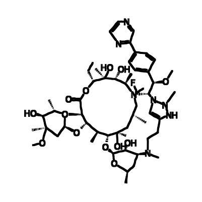 CC[C@H]1OC(=O)[C@H](C)[C@@H](O[C@H]2C[C@@](C)(OC)[C@@H](O)[C@H](C)O2)[C@H](C)[C@@H](O[C@@H]2O[C@H](C)C[C@H](N(C)CCC3=CN([C@H](CF)[C@H](OC)c4ccc(-c5cnccn5)cc4)N(C)N3)[C@H]2O)[C@](C)(O)C[C@@H](C)CN(C)[C@H](C)[C@@H](O)[C@]1(C)O